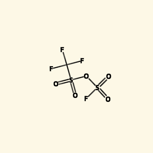 O=S(=O)(F)OS(=O)(=O)C(F)(F)F